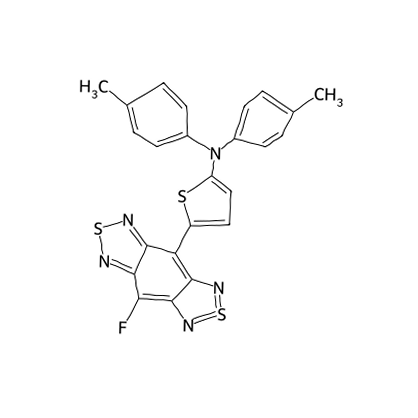 Cc1ccc(N(c2ccc(C)cc2)c2ccc(-c3c4c(c(F)c5nsnc35)N=S=N4)s2)cc1